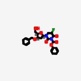 O=C(Oc1ccccc1)n1c(=O)c(F)cn([C@H]2C[C@H](OCc3ccccc3)[C@@H](CO)O2)c1=O